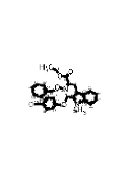 CCOC(=O)C(Cc1c(COc2ccc(Cl)cc2)n(C)c2ccccc12)=NOCc1ccccc1